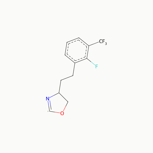 Fc1c(CCC2CO[C]=N2)cccc1C(F)(F)F